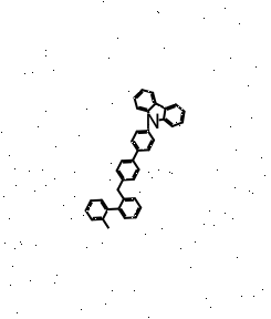 Cc1ccccc1-c1ccccc1Cc1ccc(-c2ccc(-n3c4ccccc4c4ccccc43)cc2)cc1